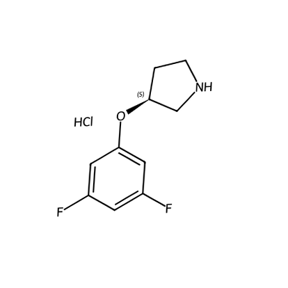 Cl.Fc1cc(F)cc(O[C@H]2CCNC2)c1